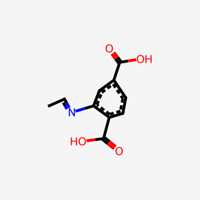 CC=Nc1cc(C(=O)O)ccc1C(=O)O